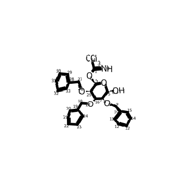 N=C(O[C@H]1O[C@H](O)[C@H](OCc2ccccc2)[C@@H](OCc2ccccc2)[C@@H]1OCc1ccccc1)C(Cl)(Cl)Cl